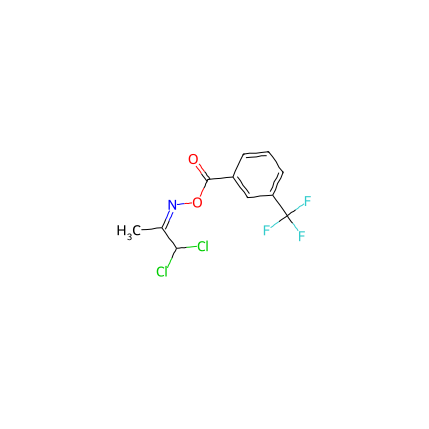 CC(=NOC(=O)c1cccc(C(F)(F)F)c1)C(Cl)Cl